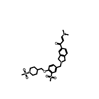 CN(C)C=CC(=O)c1ccc2c(c1)CN(Cc1ccc(OCC3CCN(S(C)(=O)=O)CC3)c(S(C)(=O)=O)c1)C2